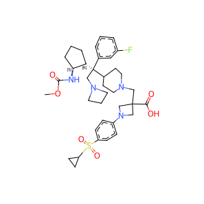 COC(=O)N[C@H]1CCC[C@@H]1C(CN1CCC1)(c1cccc(F)c1)C1CCN(CC2(C(=O)O)CN(c3ccc(S(=O)(=O)C4CC4)cc3)C2)CC1